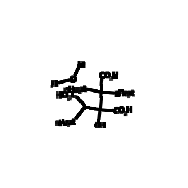 CCCCCCCC(C(=O)O)C(O)(C(=O)O)C(CCCCCCC)(CCCCCCC)C(=O)O.CCOCC